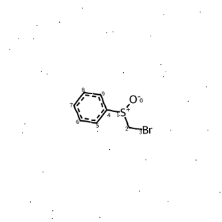 [O-][S+](CBr)c1ccccc1